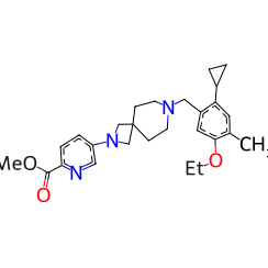 CCOc1cc(CN2CCC3(CC2)CN(c2ccc(C(=O)OC)nc2)C3)c(C2CC2)cc1C